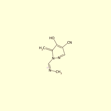 C=C1C(O)=C(C#N)C=NN1/C=N\C